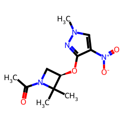 CC(=O)N1C[C@@H](Oc2nn(C)cc2[N+](=O)[O-])C1(C)C